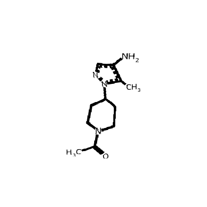 CC(=O)N1CCC(n2ncc(N)c2C)CC1